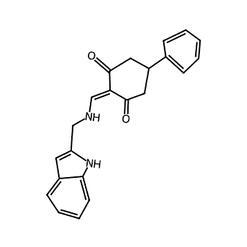 O=C1CC(c2ccccc2)CC(=O)C1=CNCc1cc2ccccc2[nH]1